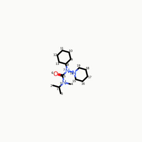 CC(C)N(C)C(=O)N(C1CCCCC1)N1CCCCC1